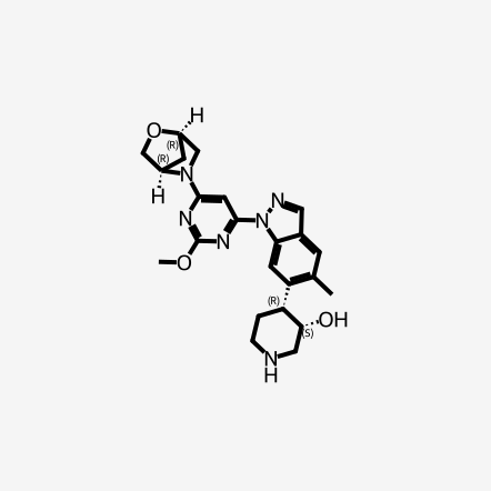 COc1nc(N2C[C@H]3C[C@@H]2CO3)cc(-n2ncc3cc(C)c([C@H]4CCNC[C@H]4O)cc32)n1